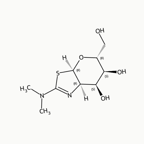 CN(C)C1=N[C@@H]2[C@H](O)[C@H](O)[C@@H](CO)O[C@@H]2S1